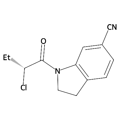 CC[C@@H](Cl)C(=O)N1CCc2ccc(C#N)cc21